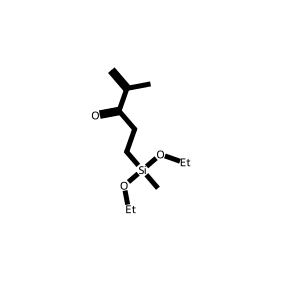 C=C(C)C(=O)CC[Si](C)(OCC)OCC